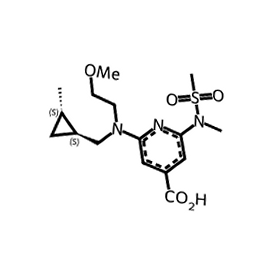 COCCN(C[C@H]1C[C@@H]1C)c1cc(C(=O)O)cc(N(C)S(C)(=O)=O)n1